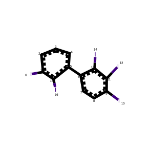 Ic1cccc(-c2[c]cc(I)c(I)c2I)c1I